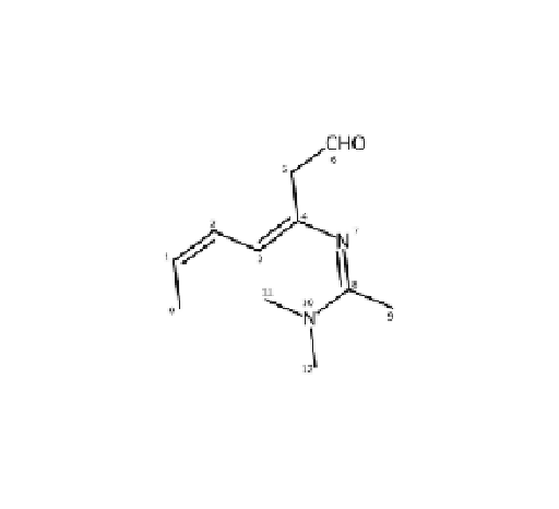 C\C=C/C=C(CC=O)/N=C(/C)N(C)C